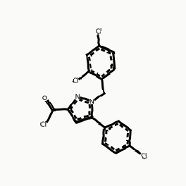 O=C(Cl)c1cc(-c2ccc(Cl)cc2)n(Cc2ccc(Cl)cc2Cl)n1